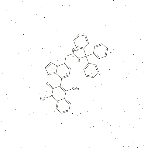 COc1c(-c2ccc(C[C@H](NC(c3ccccc3)(c3ccccc3)c3ccccc3)C(=O)O)n3ccnc23)c(=O)n(C)c2ccccc12